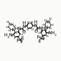 CN1CCN(c2c(N)cc(C(F)(F)F)cc2NC(=O)Nc2ccc(NC(=O)Nc3cc(C(F)(F)F)cc(N)c3N3CCN(C)CC3)cc2)CC1